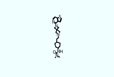 CN(C)C(=O)NC1CCC(CCN2CC3(C2)CN(c2nccc4sccc24)C3)CC1